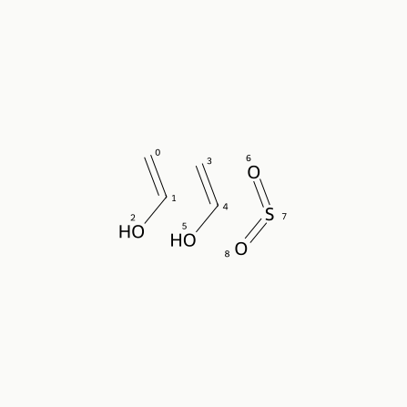 C=CO.C=CO.O=S=O